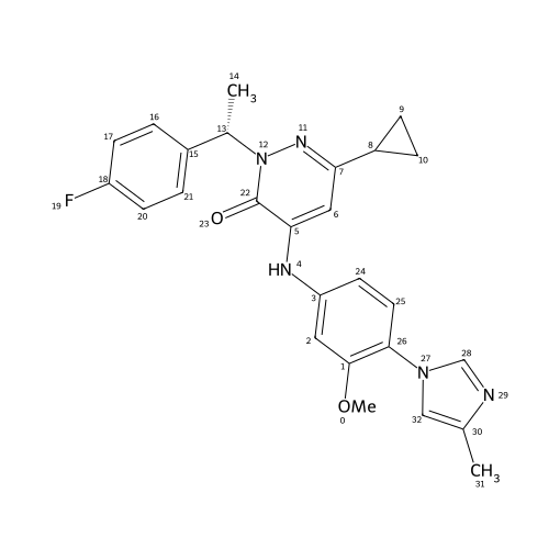 COc1cc(Nc2cc(C3CC3)nn([C@@H](C)c3ccc(F)cc3)c2=O)ccc1-n1cnc(C)c1